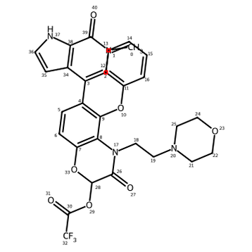 Cn1cc(-c2ccc3c(c2Oc2ccccc2)N(CCN2CCOCC2)C(=O)C(OC(=O)C(F)(F)F)O3)c2cc[nH]c2c1=O